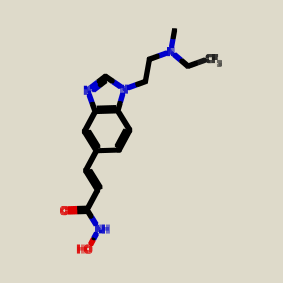 CN(CCn1cnc2cc(/C=C/C(=O)NO)ccc21)CC(F)(F)F